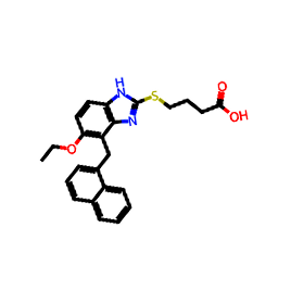 CCOc1ccc2[nH]c(SCCCC(=O)O)nc2c1Cc1cccc2ccccc12